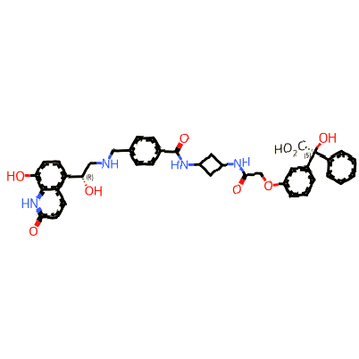 O=C(COc1cccc([C@](O)(C(=O)O)c2ccccc2)c1)NC1CC(NC(=O)c2ccc(CNC[C@H](O)c3ccc(O)c4[nH]c(=O)ccc34)cc2)C1